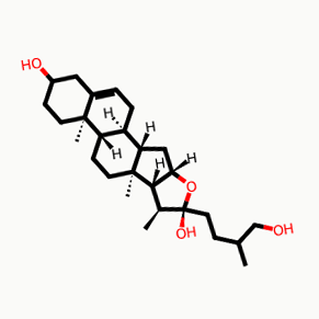 CC(CO)CC[C@@]1(O)O[C@H]2C[C@H]3[C@@H]4CC=C5CC(O)CC[C@]5(C)[C@H]4CC[C@]3(C)[C@H]2[C@@H]1C